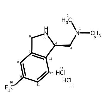 CN(C)C[C@@H]1NCc2cc(C(F)(F)F)ccc21.Cl.Cl